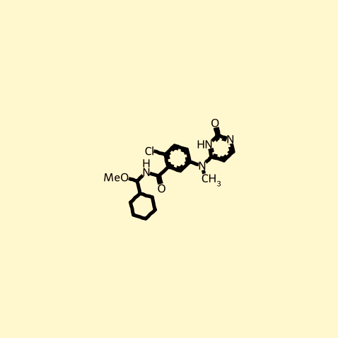 COC(NC(=O)c1cc(N(C)c2ccnc(=O)[nH]2)ccc1Cl)C1CCCCC1